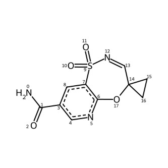 NC(=O)c1cnc2c(c1)S(=O)(=O)N=CC1(CC1)O2